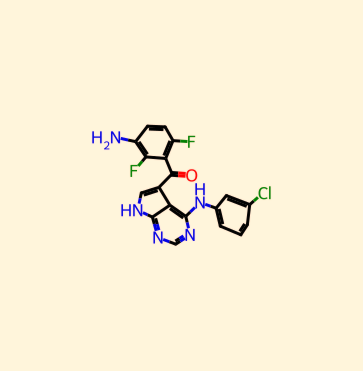 Nc1ccc(F)c(C(=O)c2c[nH]c3ncnc(Nc4cccc(Cl)c4)c23)c1F